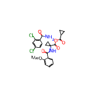 COc1ccccc1C(=O)NC1(C(=O)OC(=O)C2CC2)CC1.NC(=O)c1ccc(Cl)cc1Cl